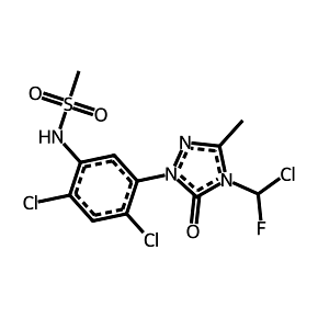 Cc1nn(-c2cc(NS(C)(=O)=O)c(Cl)cc2Cl)c(=O)n1C(F)Cl